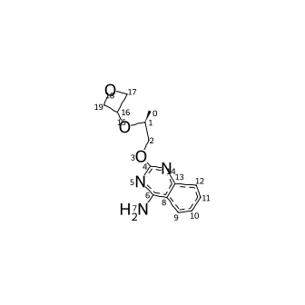 C[C@@H](COc1nc(N)c2ccccc2n1)OC1COC1